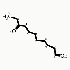 CCC(=O)CCCCCCCC=O